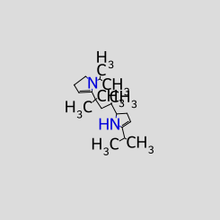 CC(C)C1=CCC([C@@H](C)CC(C)(C)C2=CCCN2C(C)C)N1